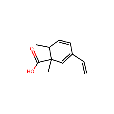 C=CC1=CC(C)(C(=O)O)C(C)C=C1